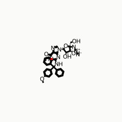 COc1ccc(C(Nc2nc3c(ncn3[C@@H]3O[C@@](CO)(N=[N+]=[N-])[C@@H](O)[C@@H]3O)c(=O)[nH]2)(c2ccccc2)c2ccccc2)cc1